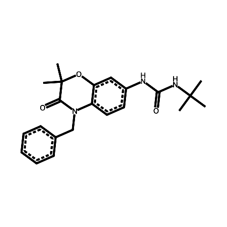 CC(C)(C)NC(=O)Nc1ccc2c(c1)OC(C)(C)C(=O)N2Cc1ccccc1